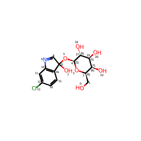 OC[C@H]1O[C@@H](OC2(O)C=Nc3cc(Cl)ccc32)[C@H](O)[C@@H](O)[C@H]1O